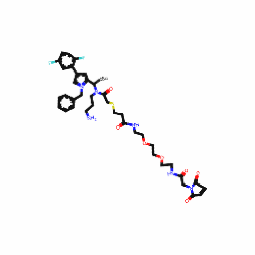 CC(C)(C)C(c1cc(-c2cc(F)ccc2F)cn1Cc1ccccc1)N(CCCN)C(=O)CSCCC(=O)NCCOCCOCCNC(=O)CN1C(=O)C=CC1=O